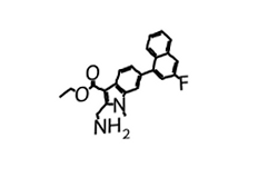 CCOC(=O)c1c(CN)n(C)c2cc(-c3cc(F)cc4ccccc34)ccc12